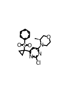 C[C@H]1COCCN1c1cc(C2(S(=O)(=O)c3ccccc3)CC2)nc(Cl)n1